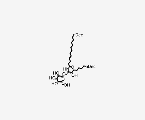 CCCCCCCCCCCCCCCCCCCCCC(=O)N[C@@H](CO[C@H]1O[C@H](CO)[C@H](O)[C@H](O)[C@H]1O)[C@H](O)CCCCCCCCCCCCCCC